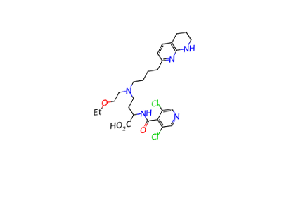 CCOCCN(CCCCc1ccc2c(n1)NCCC2)CCC(NC(=O)c1c(Cl)cncc1Cl)C(=O)O